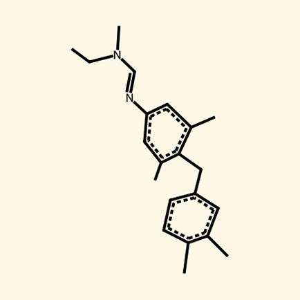 CCN(C)C=Nc1cc(C)c(Cc2ccc(C)c(C)c2)c(C)c1